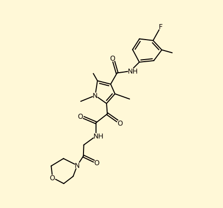 Cc1cc(NC(=O)c2c(C)c(C(=O)C(=O)NCC(=O)N3CCOCC3)n(C)c2C)ccc1F